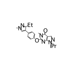 CCc1nn(C)cc1-c1ccc(Oc2nc3c(cnn3C(C)C)c(=O)n2C)cc1